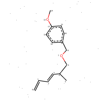 C=CC=CC(C)COCc1ccc(OC)cc1